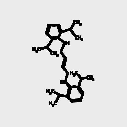 CC(C)c1cccc(C(C)C)c1NCC=CCNc1c(C(C)C)cccc1C(C)C